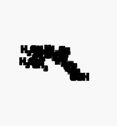 Cn1nc(-c2nnc(-c3ccc(CCN4CCC(CC(=O)O)CC4)c(C(F)(F)F)c3)o2)c2c1CC(C)(C)CC2